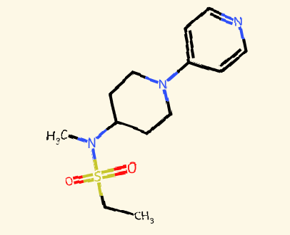 CCS(=O)(=O)N(C)C1CCN(c2ccncc2)CC1